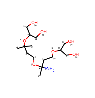 CC(C)(CCOC(C)(N)CCOC(CO)CO)OC(CO)CO